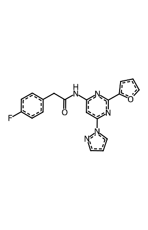 O=C(Cc1ccc(F)cc1)Nc1cc(-n2cccn2)nc(-c2ccco2)n1